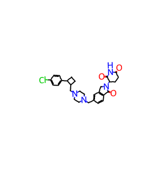 O=C1CCC(N2Cc3cc(CN4CCN(CC5CCC5c5ccc(Cl)cc5)CC4)ccc3C2=O)C(=O)N1